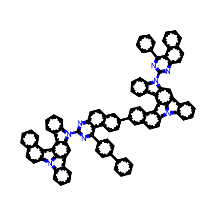 c1ccc(-c2ccc(-c3nc(-n4c5ccccc5c5c6c7c8ccccc8ccc7n7c8ccccc8c(cc54)c67)nc4ccc5cc(-c6ccc7c(ccc8c7c7c9c%10ccccc%10n(-c%10nc(-c%11ccccc%11)c%11c(ccc%12ccccc%12%11)n%10)c9cc9c%10ccccc%10n8c97)c6)ccc5c34)cc2)cc1